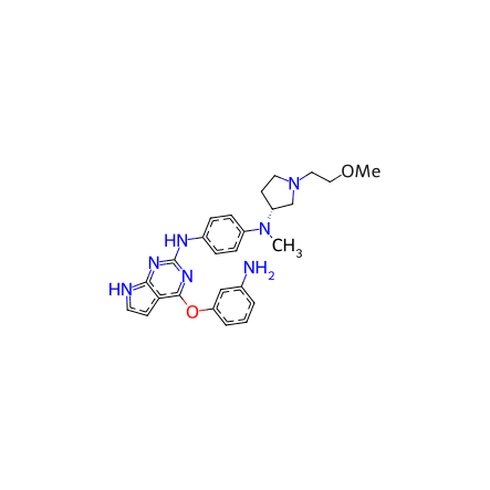 COCCN1CC[C@@H](N(C)c2ccc(Nc3nc(Oc4cccc(N)c4)c4cc[nH]c4n3)cc2)C1